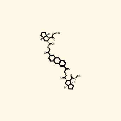 CC(C)(C)OC(=O)C1[C@H]2CCC[C@H]2C[C@H]1C(=O)OCC(=O)c1ccc2c(c1)Cc1ccc(C(=O)COC(=O)[C@@H]3C[C@@H]4CCC[C@@H]4N3C(=O)OC(C)(C)C)cc1C2